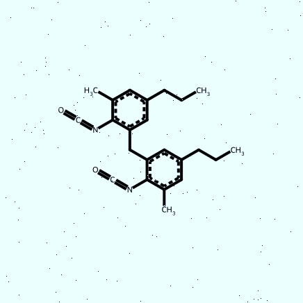 CCCc1cc(C)c(N=C=O)c(Cc2cc(CCC)cc(C)c2N=C=O)c1